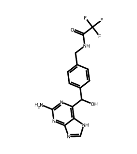 Nc1nc(C(O)c2ccc(CNC(=O)C(F)(F)F)cc2)c2[nH]cnc2n1